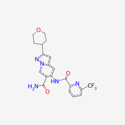 NC(=O)c1cn2nc(C3CCOCC3)cc2cc1NC(=O)c1cccc(C(F)(F)F)n1